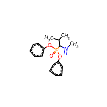 CNC(C(C)C)P(=O)(Oc1ccccc1)Oc1ccccc1